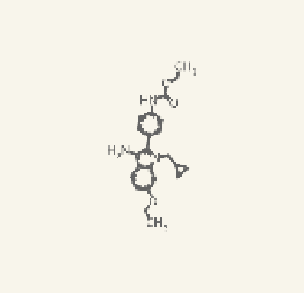 CCOC(=O)Nc1ccc(-c2c(N)c3ccc(OCC)cc3n2CC2CC2)cc1